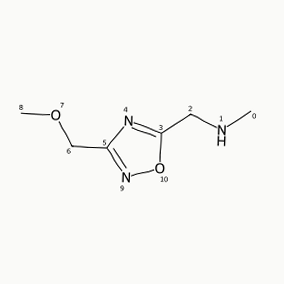 CNCc1nc(COC)no1